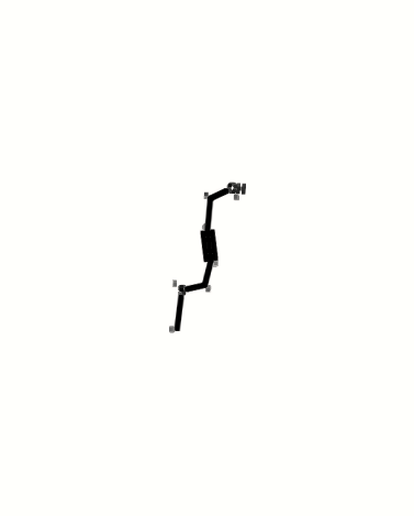 CSCC#CCO